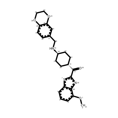 COc1cccc2sc(C(=O)[C@H]3CC[C@H](NCc4ccc5c(c4)OCCO5)CC3)nc12